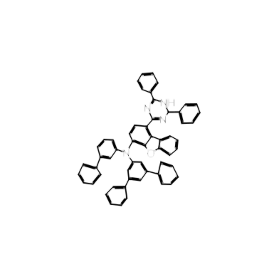 c1ccc(C2=NC(c3ccc(N(c4cccc(-c5ccccc5)c4)c4cc(-c5ccccc5)cc(-c5ccccc5)c4)c4oc5ccccc5c34)=NC(c3ccccc3)N2)cc1